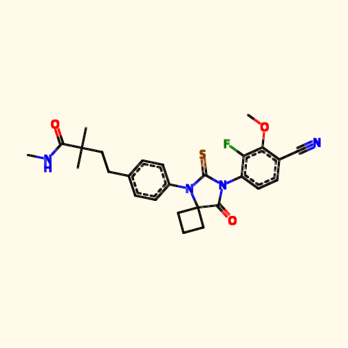 CNC(=O)C(C)(C)CCc1ccc(N2C(=S)N(c3ccc(C#N)c(OC)c3F)C(=O)C23CCC3)cc1